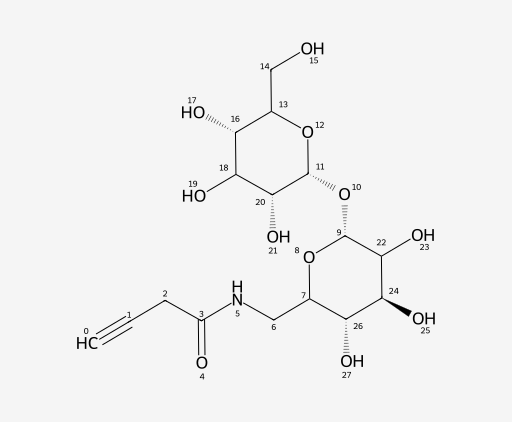 C#CCC(=O)NCC1O[C@H](O[C@H]2OC(CO)[C@@H](O)C(O)[C@H]2O)C(O)[C@@H](O)[C@@H]1O